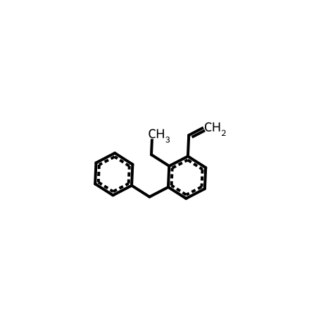 C=Cc1cccc(Cc2ccccc2)c1CC